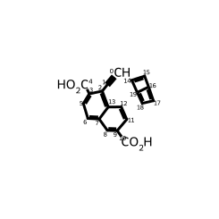 C#Cc1c(C(=O)O)ccc2cc(C(=O)O)ccc12.c1cc2ccc1-2